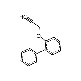 C#CCOc1ccccc1-c1ccccc1